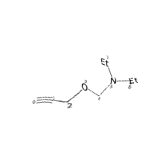 C#CCOCN(CC)CC